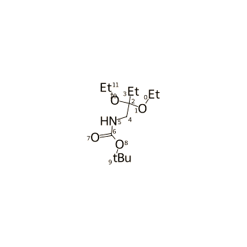 CCOC(CC)(CNC(=O)OC(C)(C)C)OCC